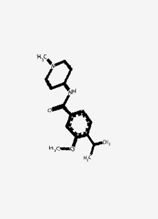 COc1cc(C(=O)NC2CCN(C)CC2)ccc1C(C)C